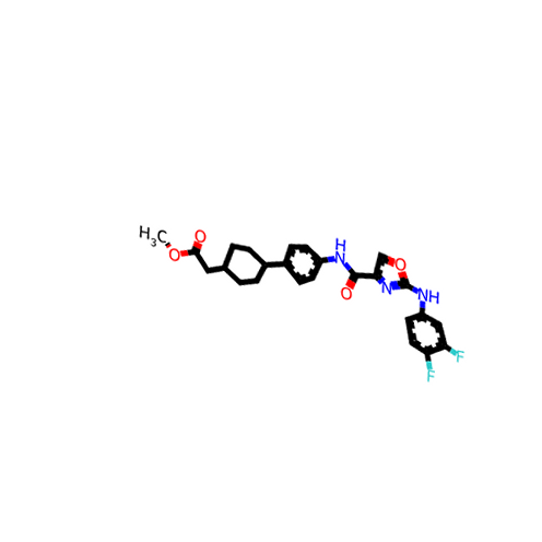 COC(=O)CC1CCC(c2ccc(NC(=O)c3coc(Nc4ccc(F)c(F)c4)n3)cc2)CC1